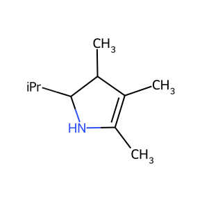 CC1=C(C)C(C)C(C(C)C)N1